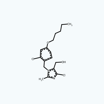 CCCCCOc1ccc(Cn2c(C)nc(Cl)c2CO)c(Cl)c1